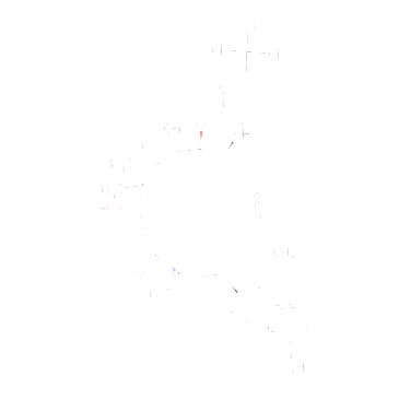 CC(=Cc1csc(C)n1)[C@@H]1/C=C(C)/C=C\C[C@H](C)[C@H](OC(=O)OCC(Cl)(Cl)Cl)[C@@H](C)C(=O)C(C)(C)[C@@H](O)CC(=O)N(C)C1